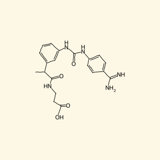 CC(C(=O)NCCC(=O)O)c1cccc(NC(=O)Nc2ccc(C(=N)N)cc2)c1